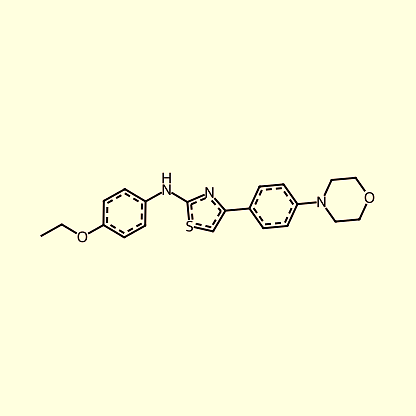 CCOc1ccc(Nc2nc(-c3ccc(N4CCOCC4)cc3)cs2)cc1